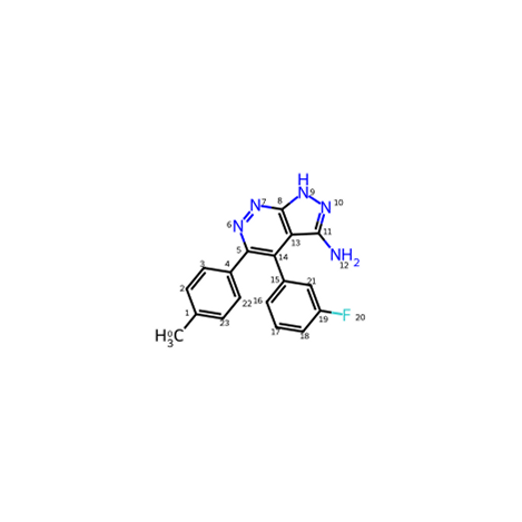 Cc1ccc(-c2nnc3[nH]nc(N)c3c2-c2cccc(F)c2)cc1